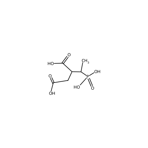 CC(C(CC(=O)O)C(=O)O)P(=O)(O)O